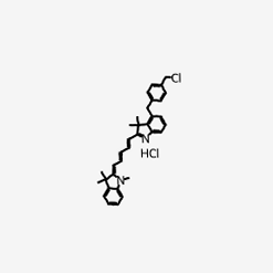 CN1C(=CC=CC=CC2=Nc3cccc(Cc4ccc(CCl)cc4)c3C2(C)C)C(C)(C)c2ccccc21.Cl